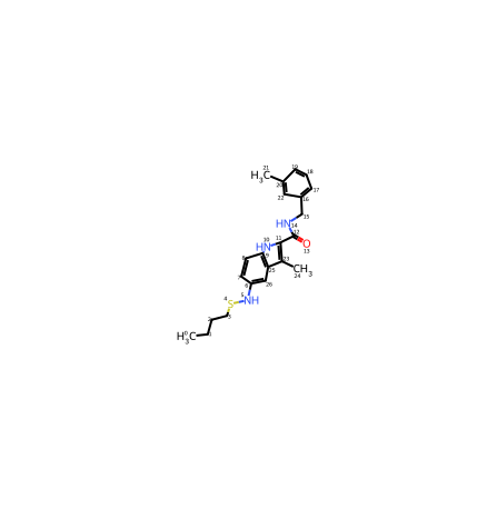 CCCCSNc1ccc2[nH]c(C(=O)NCc3cccc(C)c3)c(C)c2c1